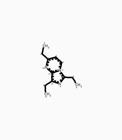 CCc1ccn2c(CC)nc(CC)c2n1